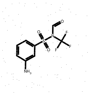 Nc1cccc(S(=O)(=O)N(C=O)C(F)(F)F)c1